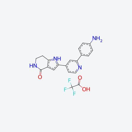 Nc1ccc(-c2cc(-c3cc4c([nH]3)CCNC4=O)ccn2)cc1.O=C(O)C(F)(F)F